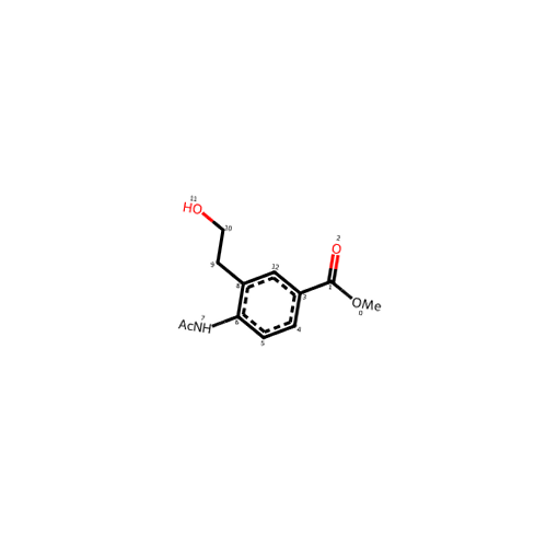 COC(=O)c1ccc(NC(C)=O)c(CCO)c1